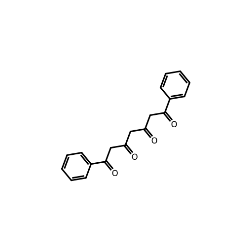 O=C(CC(=O)CC(=O)c1ccccc1)CC(=O)c1ccccc1